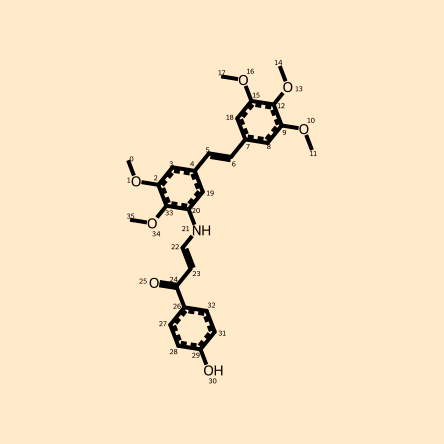 COc1cc(C=Cc2cc(OC)c(OC)c(OC)c2)cc(NC=CC(=O)c2ccc(O)cc2)c1OC